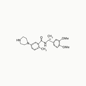 COc1ccc([C@@H](C)NC(=O)c2cc(N3CCNCC3)ccc2C)cc1OC